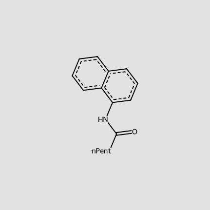 [CH2]CCC[CH]C(=O)Nc1cccc2ccccc12